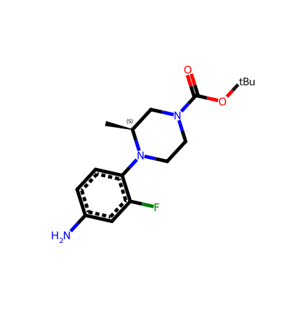 C[C@H]1CN(C(=O)OC(C)(C)C)CCN1c1ccc(N)cc1F